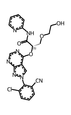 N#Cc1cccc(Cl)c1-n1cc2c(O[C@@H](COCCO)C(=O)Nc3ccccn3)ncnc2n1